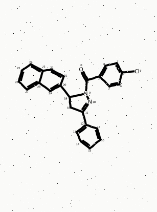 O=C(c1ccc(Cl)cc1)N1N=C(c2ccccc2)CC1c1ccc2ccccc2c1